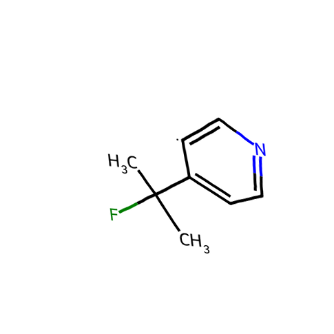 CC(C)(F)c1[c]cncc1